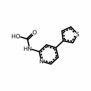 O=C(O)Nc1cc(-c2ccsc2)ccn1